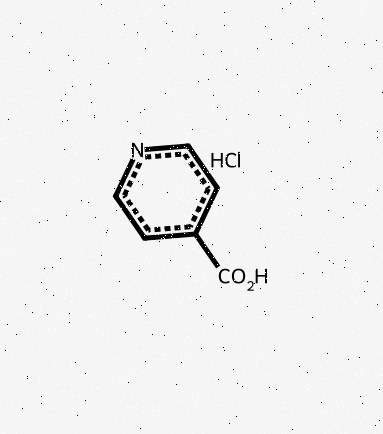 Cl.O=C(O)c1ccncc1